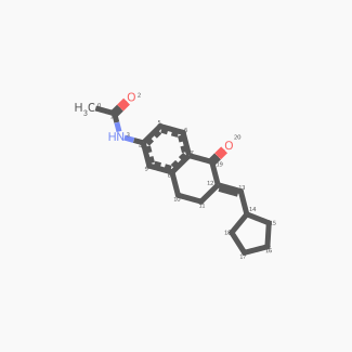 CC(=O)Nc1ccc2c(c1)CC/C(=C\C1CCCC1)C2=O